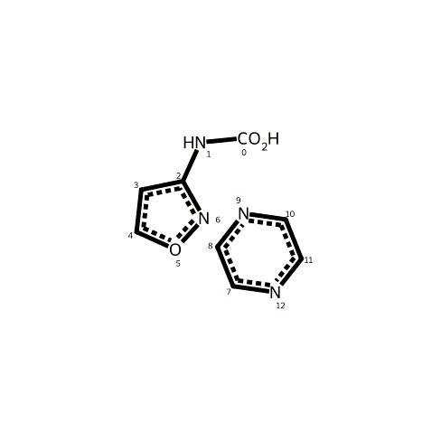 O=C(O)Nc1ccon1.c1cnccn1